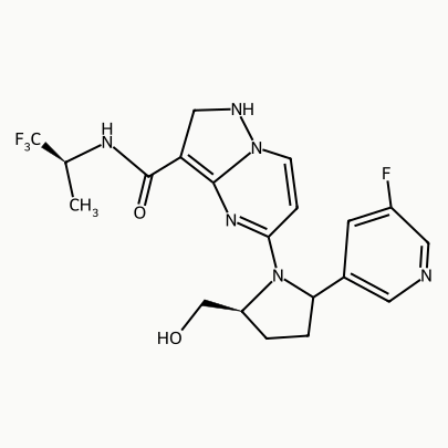 C[C@H](NC(=O)C1=C2N=C(N3C(c4cncc(F)c4)CC[C@H]3CO)C=CN2NC1)C(F)(F)F